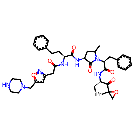 CC(C)C[C@H](NC(=O)[C@H](Cc1ccccc1)N1C(=O)[C@@H](NC(=O)[C@H](CCc2ccccc2)NC(=O)Cc2cc(CN3CCNCC3)on2)CC1C)C(=O)C1(C)CO1